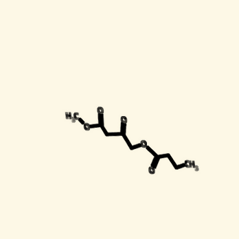 CCCC(=O)OCC(=O)CC(=O)OC